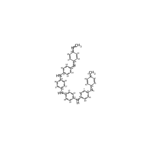 C=C1C=CC(=Nc2ccc(Nc3ccc(Nc4ccc(Nc5ccc(N=C6C=CC(=NC)C=C6)cc5)cc4)cc3)cc2)C=C1